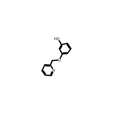 Oc1cccc(OCc2ccccn2)c1